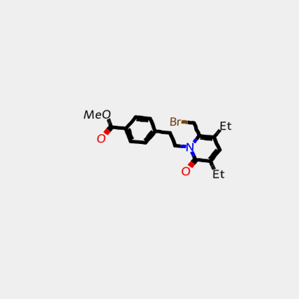 CCc1cc(CC)c(=O)n(CCc2ccc(C(=O)OC)cc2)c1CBr